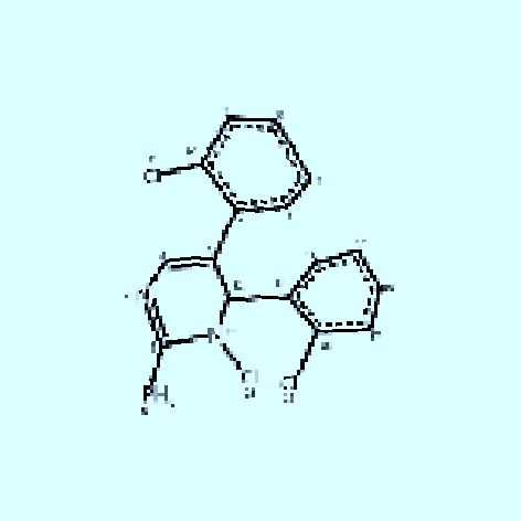 PC1=NC=C(c2ccccc2Cl)C(c2ccccc2Cl)N1Cl